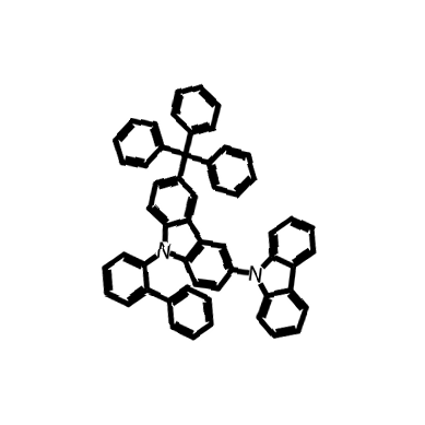 c1ccc(-c2ccccc2-n2c3ccc(-n4c5ccccc5c5ccccc54)cc3c3cc(C(c4ccccc4)(c4ccccc4)c4ccccc4)ccc32)cc1